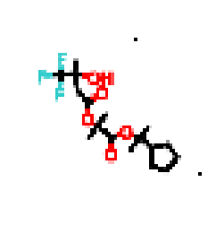 CC(C)(OC(=O)CC(C)(O)C(F)(F)F)C(=O)OC(C)(C)C1CCCC1